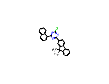 CC1(C)c2ccccc2-c2ccc(-c3nc(Cl)nc(-c4cccc5ccccc45)n3)cc21